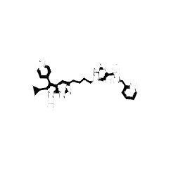 O=C(NCc1ccccn1)c1cn(CCCCc2cc3c(-c4ccncc4)c(C4CC4)[nH]c3nn2)nn1